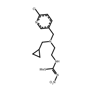 CS/C(=N\[N+](=O)[O-])NCCN(Cc1ccc(Cl)nc1)CC1CC1